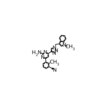 Cc1c(C#N)cccc1-c1cc(-c2cn(Cc3cn(C)c4ccccc34)nn2)nc(N)n1